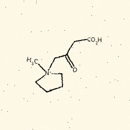 C[N+]1(CC(=O)CC(=O)O)CCCC1